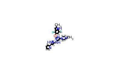 Cc1cc2c(F)c(Oc3nc(Nc4cc(-c5ccccn5)[nH]n4)cc(N4CCN(C)CC4)n3)cc(F)c2[nH]1